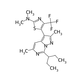 CCC(CC)c1nc(C)cc2c(-c3sc(N(C)C)nc3C(F)(F)F)c(C)nn12